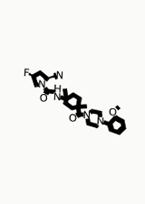 COc1ccccc1N1CCN(C(=O)C2(C)CCC(C)(NCC(=O)N3C[C@@H](F)C[C@H]3C#N)CC2)CC1